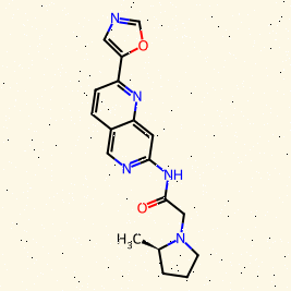 C[C@@H]1CCCN1CC(=O)Nc1cc2nc(-c3cnco3)ccc2cn1